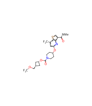 CNC(=O)c1csc2c(C(F)(F)F)cc(OC3CCN(C(=O)O[C@H]4C[C@H](COC(F)(F)F)C4)CC3)nc12